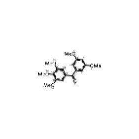 COc1cc(OC)cc(C(=O)c2cc(OC)c(OC)c(OC)c2)c1